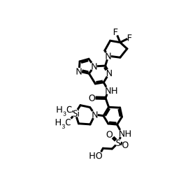 C[Si]1(C)CCN(c2cc(NS(=O)(=O)CCO)ccc2C(=O)Nc2cc3nccn3c(N3CCC(F)(F)CC3)n2)CC1